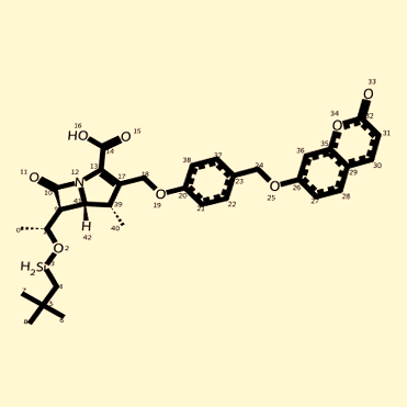 C[C@@H](O[SiH2]CC(C)(C)C)[C@H]1C(=O)N2C(C(=O)O)=C(COc3ccc(COc4ccc5ccc(=O)oc5c4)cc3)[C@H](C)[C@H]12